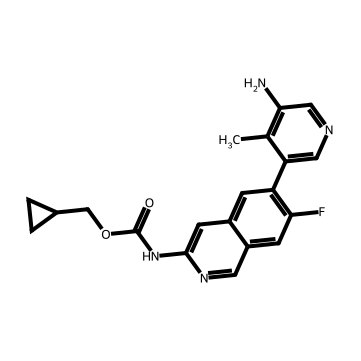 Cc1c(N)cncc1-c1cc2cc(NC(=O)OCC3CC3)ncc2cc1F